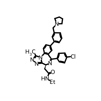 CCNC(=O)C[C@@H]1N=C(c2ccc(Cl)cc2)c2cc(-c3cccc(CN4CCCC4)c3)ccc2-n2c(C)nnc21